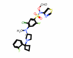 CN(c1cc(F)c(S(=O)(=O)N(OC=O)c2cscn2)cc1Cl)[C@H]1CCN(C2(c3ccccc3F)CCC2)C1